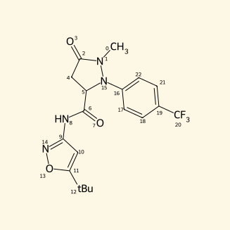 CN1C(=O)CC(C(=O)Nc2cc(C(C)(C)C)on2)N1c1ccc(C(F)(F)F)cc1